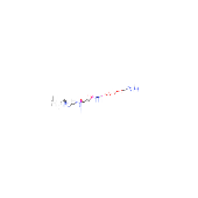 CNCCCOCCOCCOCCCNC(=O)CCCC(=O)NCCCCN(C)C(C)(C)C